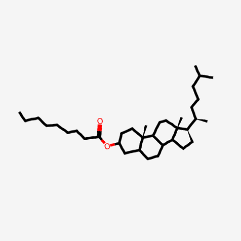 CCCCCCCCC(=O)OC1CC[C@@]2(C)C(CCC3C2CC[C@@]2(C)C3CC[C@@H]2[C@H](C)CCCC(C)C)C1